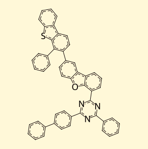 c1ccc(-c2ccc(-c3nc(-c4ccccc4)nc(-c4cccc5c4oc4ccc(-c6ccc7c(sc8ccccc87)c6-c6ccccc6)cc45)n3)cc2)cc1